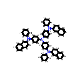 c1ccc2cc(N(c3ccccc3)c3ccc(N(c4ccc(N(c5ccccc5)c5ccc6ccccc6c5)cc4)c4ccc(N(c5ccccc5)c5ccc6ccccc6c5)cc4)cc3)ccc2c#1